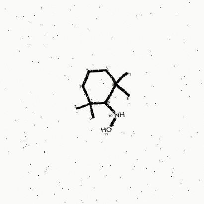 CC1(C)CCCC(C)(C)C1NO